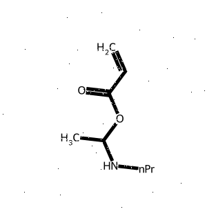 C=CC(=O)OC(C)NCCC